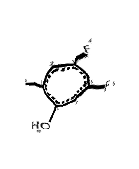 Cc1cc(F)c(F)cc1O